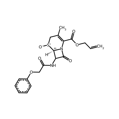 C=CCOC(=O)C1=C(C)C[S+]([O-])[C@@H]2C(NC(=O)COc3ccccc3)C(=O)N12